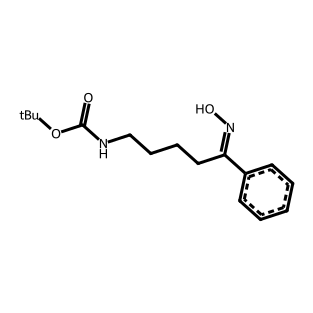 CC(C)(C)OC(=O)NCCCC/C(=N\O)c1ccccc1